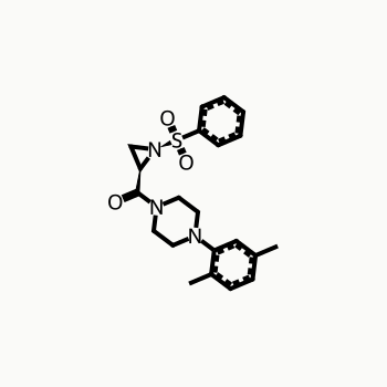 Cc1ccc(C)c(N2CCN(C(=O)[C@H]3C[N@@]3S(=O)(=O)c3ccccc3)CC2)c1